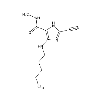 CCCCCNc1nc(C#N)[nH]c1C(=O)NC